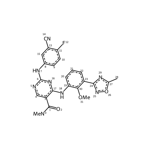 CNC(=O)c1cnc(Nc2ccc(F)c(C#N)c2)nc1Nc1cccc(-c2noc(C)n2)c1OC